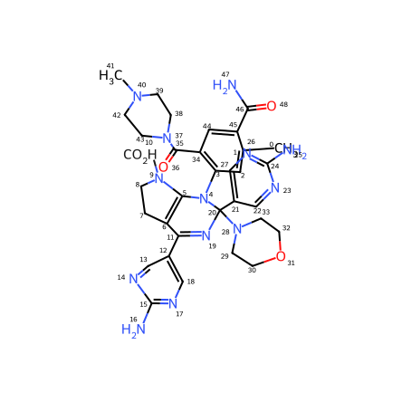 Cc1cc(N2C3=C(CCN3C(=O)O)C(c3cnc(N)nc3)=NC2(c2cnc(N)nc2)N2CCOCC2)c(C(=O)N2CCN(C)CC2)cc1C(N)=O